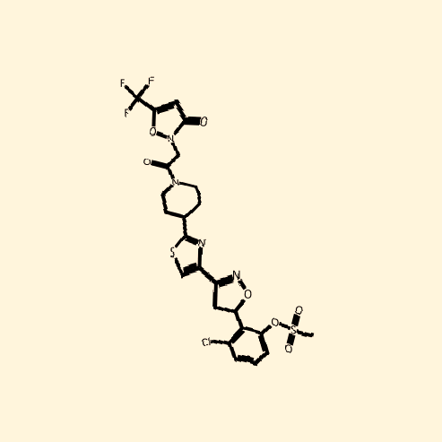 CS(=O)(=O)Oc1cccc(Cl)c1C1CC(c2csc(C3CCN(C(=O)Cn4oc(C(F)(F)F)cc4=O)CC3)n2)=NO1